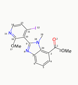 COC(=O)c1cccc2nc(-c3c(I)ccnc3OC)n(C)c12